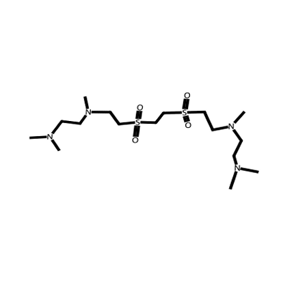 CN(C)CCN(C)CCS(=O)(=O)CCS(=O)(=O)CCN(C)CCN(C)C